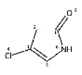 O=C1CC(Cl)=CN1